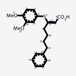 COc1ccc(S/C(=C\C(=O)O)CCCCc2ccccc2)cc1OC